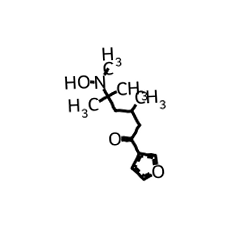 CC(CC(=O)c1ccoc1)CC(C)(C)N(C)O